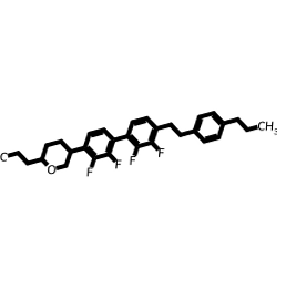 CCCc1ccc(CCc2ccc(-c3ccc(C4CCC(CCC)OC4)c(F)c3F)c(F)c2F)cc1